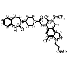 COCCn1ncc2c3c(cc(Cl)c21)C(CC(=O)N1CCC(N2CCc4ccccc4NC2=O)CC1)C(=O)N(CC(F)(F)F)C3